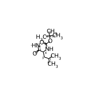 CC(C)CC(NC(=O)OC(C)(C)C)C([NH])=O